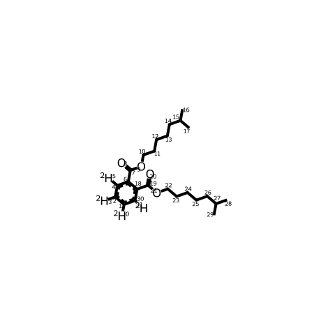 [2H]c1c([2H])c([2H])c(C(=O)OCCCCCC(C)C)c(C(=O)OCCCCCC(C)C)c1[2H]